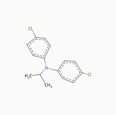 CC(C)N(c1ccc(Cl)cc1)c1ccc(Cl)cc1